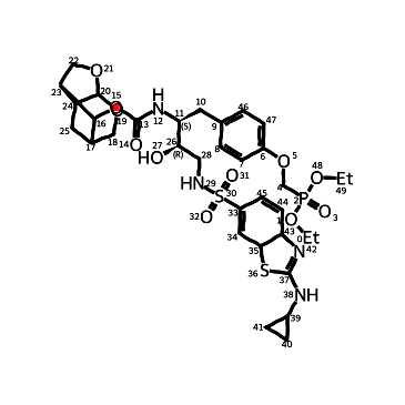 CCOP(=O)(COc1ccc(C[C@H](NC(=O)OC2C3COC4OCC2C4C3)[C@H](O)CNS(=O)(=O)C2=CC3SC(NC4CC4)=NC3C=C2)cc1)OCC